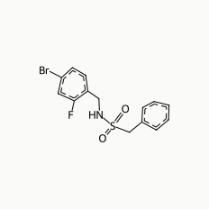 O=S(=O)(Cc1ccccc1)NCc1ccc(Br)cc1F